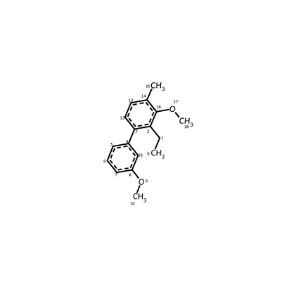 CCc1c(-c2cccc(OC)c2)ccc(C)c1OC